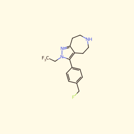 FCc1ccc(-c2c3c(nn2CC(F)(F)F)CCNCC3)cc1